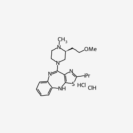 COCC[C@H]1CN(C2=Nc3ccccc3Nc3sc(C(C)C)nc32)CCN1C.Cl.Cl